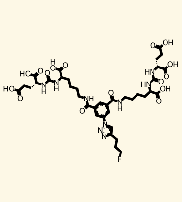 O=C(O)CC[C@@H](NC(=O)NC(CCCCNC(=O)c1cc(C(=O)NCCCCC(NC(=O)N[C@H](CCC(=O)O)C(=O)O)C(=O)O)cc(-n2cc(CCCF)nn2)c1)C(=O)O)C(=O)O